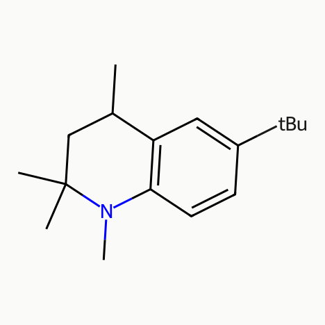 CC1CC(C)(C)N(C)c2ccc(C(C)(C)C)cc21